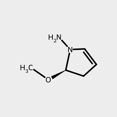 CO[C@@H]1CC=CN1N